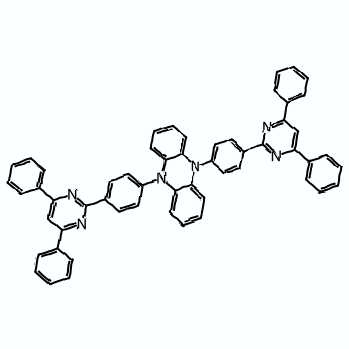 c1ccc(-c2cc(-c3ccccc3)nc(-c3ccc(N4c5ccccc5N(c5ccc(-c6nc(-c7ccccc7)cc(-c7ccccc7)n6)cc5)c5ccccc54)cc3)n2)cc1